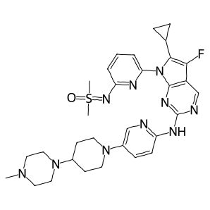 CN1CCN(C2CCN(c3ccc(Nc4ncc5c(F)c(C6CC6)n(-c6cccc(N=S(C)(C)=O)n6)c5n4)nc3)CC2)CC1